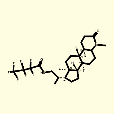 CC(CNC(=O)C(F)(F)C(F)(F)C(F)(F)F)[C@H]1CC[C@H]2[C@@H]3CCC4N(C)C(=O)CC[C@]4(C)[C@H]3CC[C@]12C